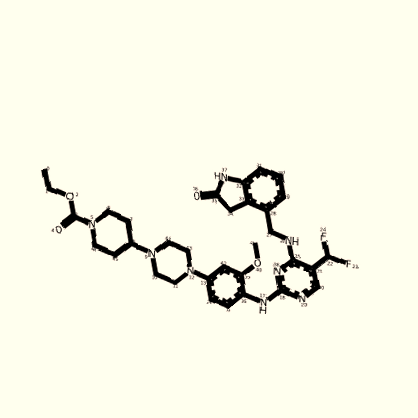 CCOC(=O)N1CCC(N2CCN(c3ccc(Nc4ncc(C(F)F)c(NCc5cccc6c5CC(=O)N6)n4)c(OC)c3)CC2)CC1